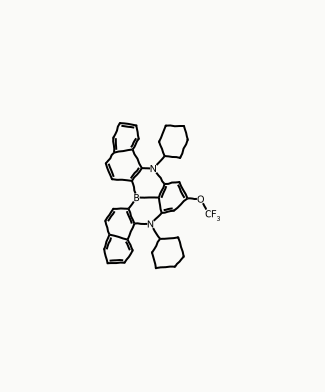 FC(F)(F)Oc1cc2c3c(c1)N(C1CCCCC1)c1c(ccc4ccccc14)B3c1ccc3ccccc3c1N2C1CCCCC1